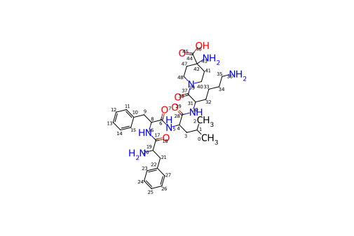 CC(C)CC(NC(=O)C(Cc1ccccc1)NC(=O)C(N)Cc1ccccc1)C(=O)NC(CCCCN)C(=O)N1CCC(N)(C(=O)O)CC1